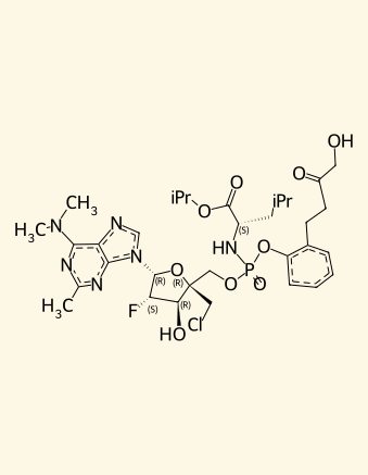 Cc1nc(N(C)C)c2ncn([C@@H]3O[C@](CCl)(COP(=O)(N[C@@H](CC(C)C)C(=O)OC(C)C)Oc4ccccc4CCC(=O)CO)[C@@H](O)[C@@H]3F)c2n1